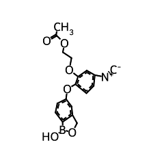 [C-]#[N+]c1ccc(Oc2ccc3c(c2)COB3O)c(OCCOC(C)=O)c1